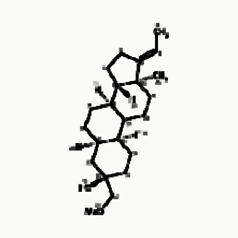 CC=C1CC[C@H]2[C@@H]3CC[C@@H]4C[C@@](O)(COC)CC[C@]4(F)C3CC[C@]12C